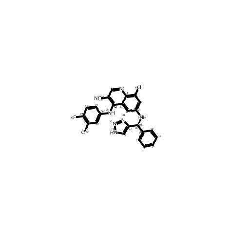 N#Cc1cnc2c(Cl)cc(N[C@@H](c3ccccc3)c3c[nH]nn3)cc2c1Nc1ccc(F)c(Cl)c1